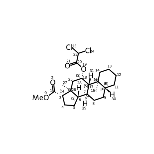 COC(=O)[C@H]1CC[C@H]2[C@@H]3CC[C@H]4CCCC[C@]4(C)[C@H]3[C@@H](OC(=O)C(Cl)Cl)C[C@]12C